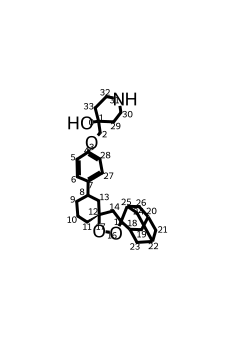 OC1(COc2ccc(C3CCC[C@@]4(C3)CC3(OO4)C4CC5CC(C4)CC3C5)cc2)CCNCC1